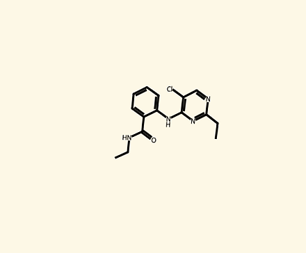 CCNC(=O)c1ccccc1Nc1nc(CC)ncc1Cl